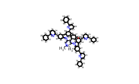 C=N/C=C(\C(=C(/C)n1c2ccc(-c3cccc(-c4ccccc4)n3)cc2c2cc(-c3cccc(-c4ccccc4)n3)ccc21)c1cccc(C#N)c1)n1c2ccc(-c3cccc(-c4ccccc4)n3)cc2c2cc(-c3cccc(-c4ccccc4)n3)ccc21